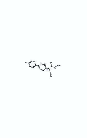 CCOC(=O)/C(C#N)=C1/C=CN(c2ccc(C)cc2)C=N1